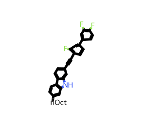 CCCCCCCCc1ccc2c(c1)[nH]c1cc(C#Cc3ccc(-c4ccc(F)c(F)c4)cc3F)ccc12